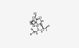 C=CC(=C)CCC=C(C)C.C=CC1CCCCC1(C=C)C=C